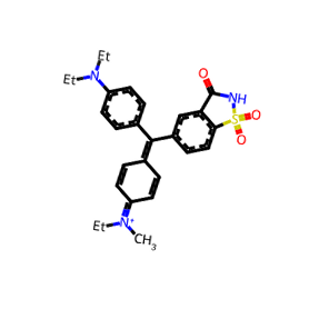 CCN(CC)c1ccc(C(=C2C=CC(=[N+](C)CC)C=C2)c2ccc3c(c2)C(=O)NS3(=O)=O)cc1